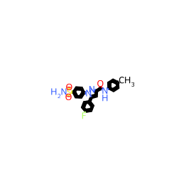 Cc1ccc(NC(=O)c2cc(-c3ccc(F)cc3)n(-c3ccc(S(N)(=O)=O)cc3)n2)cc1